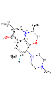 C[C@H]1COc2c(N3CCN(C)CC3)c(F)cc3c(=O)c(C(=O)O)cn1c23.[NaH]